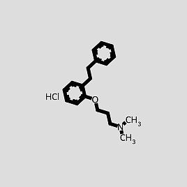 CN(C)CCCOc1ccccc1CCc1ccccc1.Cl